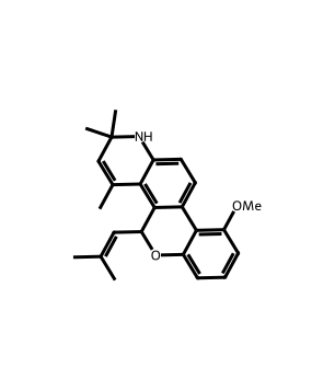 COc1cccc2c1-c1ccc3c(c1C(C=C(C)C)O2)C(C)=CC(C)(C)N3